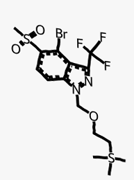 CS(C)(C)CCOCn1nc(C(F)(F)F)c2c(Br)c(S(C)(=O)=O)ccc21